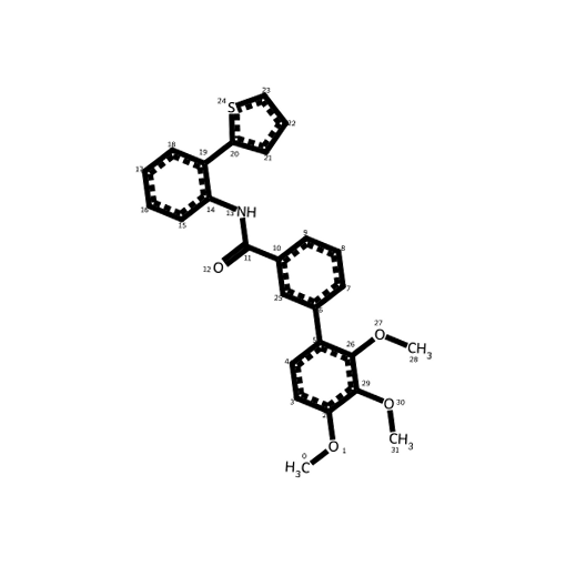 COc1ccc(-c2cccc(C(=O)Nc3ccccc3-c3cccs3)c2)c(OC)c1OC